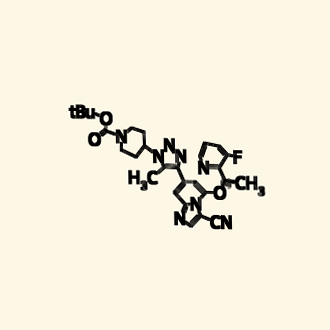 Cc1c(-c2cc(O[C@H](C)c3ncccc3F)n3c(C#N)cnc3c2)nnn1C1CCN(C(=O)OC(C)(C)C)CC1